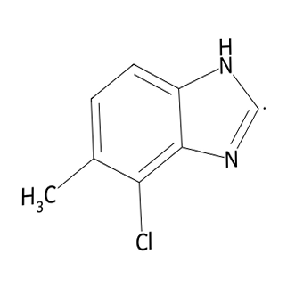 Cc1ccc2[nH][c]nc2c1Cl